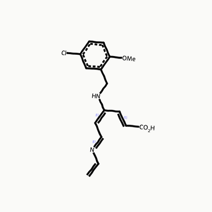 C=C/N=C/C=C(\C=C\C(=O)O)NCc1cc(Cl)ccc1OC